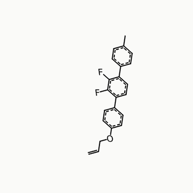 C=CCOc1ccc(-c2ccc(-c3ccc(C)cc3)c(F)c2F)cc1